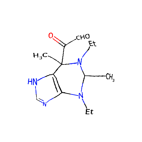 CCN1c2nc[nH]c2C(C)(C(=O)C=O)N(CC)C1C